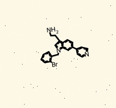 NCCc1cn(Cc2ccccc2Br)c2cc(-c3ccncc3)ccc12